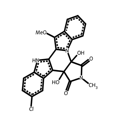 COc1c2n(c3ccccc13)C1(O)C(=O)N(C)C(=O)C1(O)c1c-2[nH]c2ccc(Cl)cc12